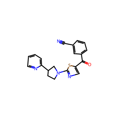 N#Cc1cccc(C(=O)c2cnc(N3CCC(c4ccccn4)C3)s2)c1